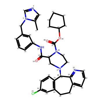 Cc1cncn1Cc1cccc(NC(=O)C2CN([C@@H]3c4ccc(Cl)cc4CCc4cccnc43)CCN2C(=O)OC2CCCCC2)c1